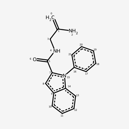 C=C(N)CNC(=O)c1cc2ccccc2n1-c1ccccc1